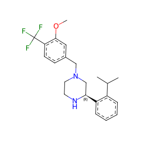 COc1cc(CN2CCN[C@H](c3ccccc3C(C)C)C2)ccc1C(F)(F)F